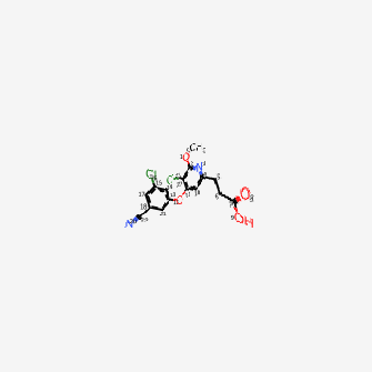 COc1nc(CCC(=O)O)cc(Oc2cc(Cl)cc(C#N)c2)c1Cl